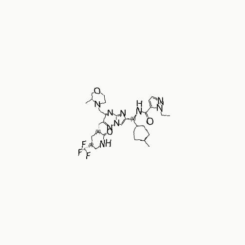 CCn1nccc1C(=O)N[C@H](c1cn2nc(C[C@H]3C[C@@H](C(F)(F)F)CNC3=O)c(CN3CCOCC3C)nc2n1)C1CCC(C)CC1